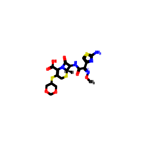 CO/N=C(\C(=O)NC1C(=O)N2C(C(=O)O)=C(SC3COCOC3)CS[C@H]12)c1csc(N)n1